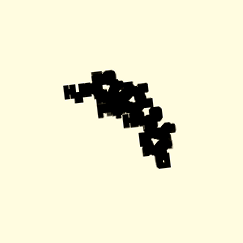 Cc1cc(Cl)cnc1C(=O)Nc1cccc(C2(C(F)F)COCC(N)=N2)c1